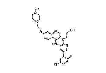 CN1CCN(CCOc2ccc3c(Nc4cc(-c5cc(Cl)ccc5F)nnc4OCCO)ccnc3c2)CC1